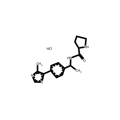 Cc1ncsc1-c1ccc(C(C)NC(=O)C2CCCN2)cc1.Cl